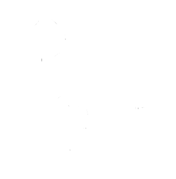 CC/C=C\C/C=C\C/C=C\C/C=C\C/C=C\CCCCCC(=O)OC[C@H](COP(=O)([O-])OCC[N+](C)(C)C)OC(=O)CCCCCCCCCCCCCCCCC